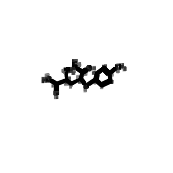 Cc1ccc(O[C@@H](C[C@H](N)C(=O)O)C(=O)O)cc1